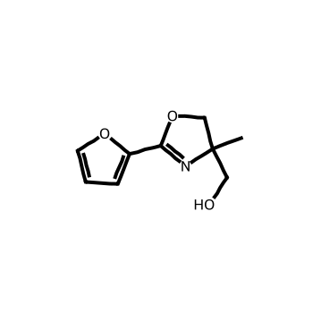 CC1(CO)COC(c2ccco2)=N1